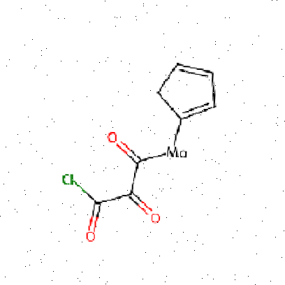 O=C(Cl)C(=O)[C](=O)[Mo][C]1=CC=CC1